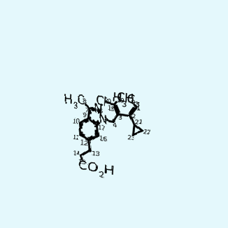 C/C=C(\C(Cn1nc(C)c2ccc(CCC(=O)O)cc21)=C(/C)Cl)C1CC1